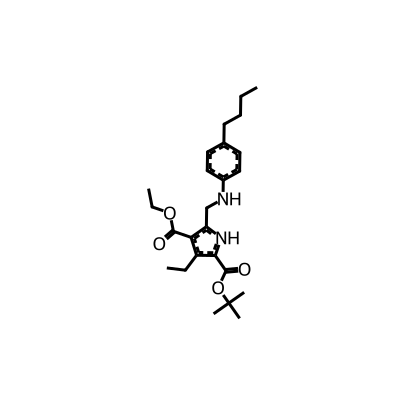 CCCCc1ccc(NCc2[nH]c(C(=O)OC(C)(C)C)c(CC)c2C(=O)OCC)cc1